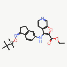 CCOC(=O)c1oc2cnccc2c1Nc1ccc2c(c1)CC/C2=N/O[Si](C)(C)C(C)(C)C